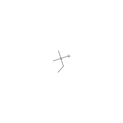 [Li][Si](C)(C)CC